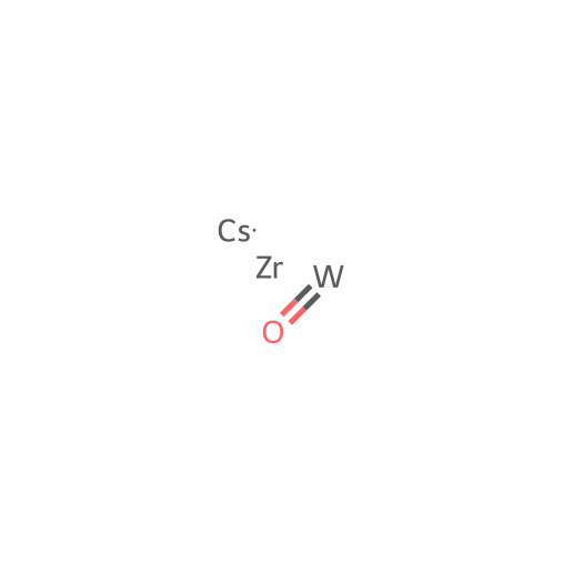 [Cs].[O]=[W].[Zr]